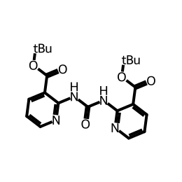 CC(C)(C)OC(=O)c1cccnc1NC(=O)Nc1ncccc1C(=O)OC(C)(C)C